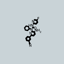 N#Cc1cccc(-c2ccc(N)c(N(C(=O)Nc3ccc(F)cn3)C3CCCCC3)n2)c1